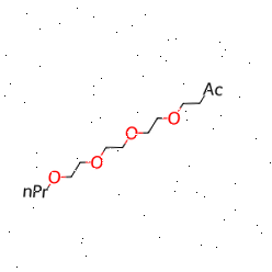 CCCOCCOCCOCCOCCC(C)=O